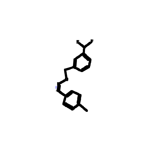 Cc1ccc(/[C]=N\OCc2cccc(C(F)F)c2)cc1